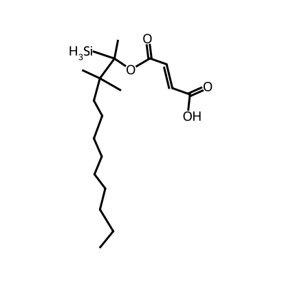 CCCCCCCCCC(C)(C)C(C)([SiH3])OC(=O)/C=C/C(=O)O